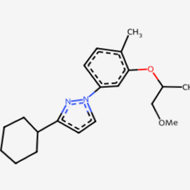 COCC(C)Oc1cc(-n2ccc(C3CCCCC3)n2)ccc1C